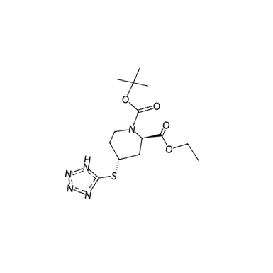 CCOC(=O)[C@H]1C[C@H](Sc2nnn[nH]2)CCN1C(=O)OC(C)(C)C